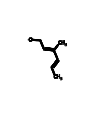 CC=CC(C)=CC[O]